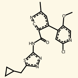 COc1cnc(Cl)cc1-c1cc(C)ncc1C(=O)Nc1nnc(CC2CC2)s1